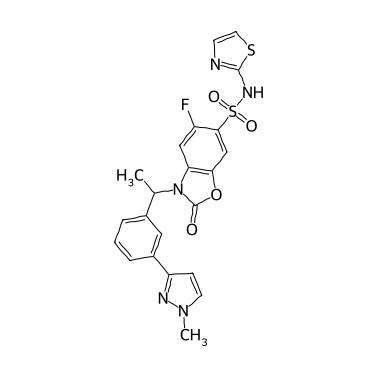 CC(c1cccc(-c2ccn(C)n2)c1)n1c(=O)oc2cc(S(=O)(=O)Nc3nccs3)c(F)cc21